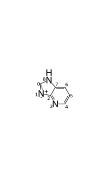 C1=[N+]c2ncccc2N1